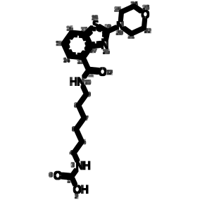 O=C(O)NCCCCCCNC(=O)c1cccc2sc(N3CCOCC3)nc12